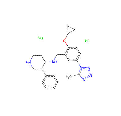 Cl.Cl.FC(F)(F)c1nnnn1-c1ccc(OC2CC2)c(CN[C@H]2CCNC[C@H]2c2ccccc2)c1